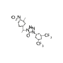 Cc1cc(C(C)n2nnn(-c3cc(C(F)(F)F)cc(C(F)(F)F)c3)c2=O)ccc1[N+](=O)[O-]